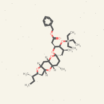 CC[C@H](C)[C@@H]1C[C@H]2O[C@@H]3[C@H](C[C@H]2O1)O[C@]1(C[C@H](C)C(O[Si](CC)(CC)CC)[C@H](CC(=O)OCc2ccccc2)O1)C[C@@H]3C